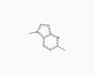 Cc1ccc2c(ccn2C)n1